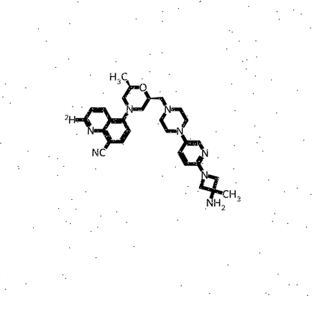 [2H]c1ccc2c(N3C[C@H](CN4CCN(c5ccc(N6CC(C)(N)C6)nc5)CC4)O[C@H](C)C3)ccc(C#N)c2n1